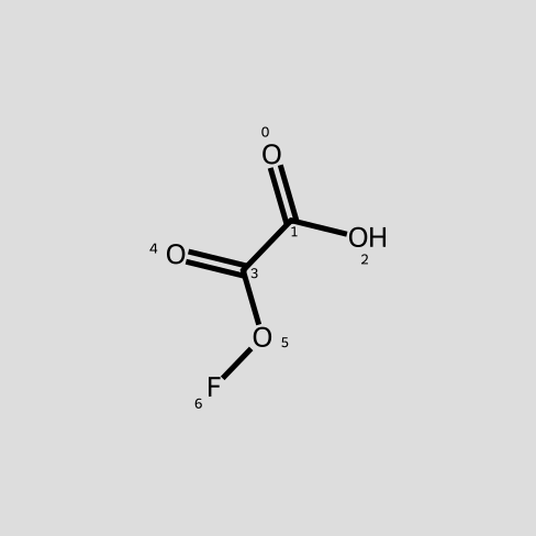 O=C(O)C(=O)OF